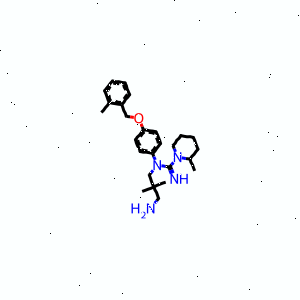 Cc1ccccc1COc1ccc(N(CC(C)(C)CN)C(=N)N2CCCCC2C)cc1